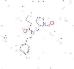 CCCC(=O)N(CCc1ccccc1)CC1CCCN1C=O